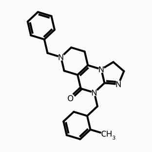 CC1=CC=CCC1CN1C(=O)C2=C(CCN(Cc3ccccc3)C2)N2CCN=C12